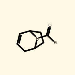 CCC(=O)N1C2C=CCC1CC2